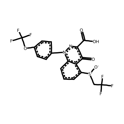 O=C(O)c1nn(-c2ccc(OC(F)(F)F)cc2)c2cccc([S+]([O-])CC(F)(F)F)c2c1=O